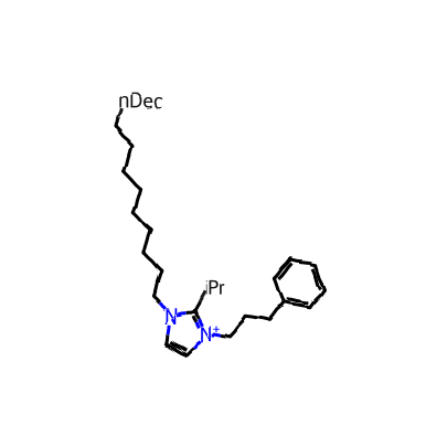 CCCCCCCCCCCCCCCCCCCn1cc[n+](CCCc2ccccc2)c1C(C)C